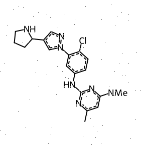 CNc1cc(C)nc(Nc2ccc(Cl)c(-n3cc(C4CCCN4)cn3)c2)n1